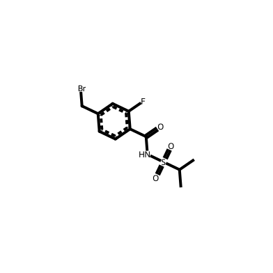 CC(C)S(=O)(=O)NC(=O)c1ccc(CBr)cc1F